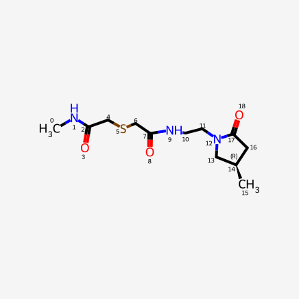 CNC(=O)CSCC(=O)NCCN1C[C@H](C)CC1=O